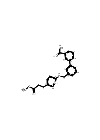 COC(=O)CCc1ccc(OCc2cccc(-c3cccc(C(=O)O)c3)c2)cc1